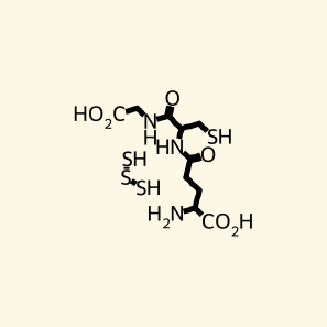 NC(CCC(=O)NC(CS)C(=O)NCC(=O)O)C(=O)O.SSS